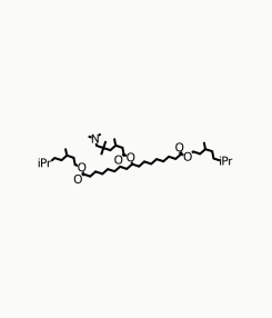 CC(C)CCC(C)CCOC(=O)CCCCCCCC(CCCCCCCC(=O)OCCC(C)CCC(C)C)OC(=O)CC(C)CC(C)(C)CN(C)C